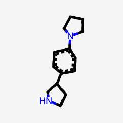 c1cc(N2CCCC2)ccc1C1CCNC1